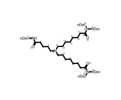 CCCCCCCCCCNC(=O)CCCCN(CCCCCCCC(=O)N(CCCCCCCCCC)CCCCCCCCCC)CCCCCCCC(=O)N(CCCCCCCCCC)CCCCCCCCCC